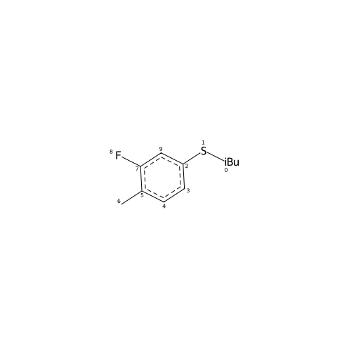 CCC(C)Sc1ccc(C)c(F)c1